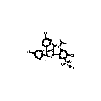 CC(C)Oc1cc(Cl)c(S(N)(=O)=O)cc1C1=N[C@@](C)(c2ccc(Cl)cc2)[C@@](C)(c2ccc(Cl)cc2)N1C(=O)Cl